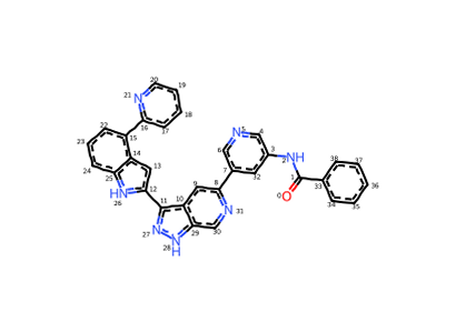 O=C(Nc1cncc(-c2cc3c(-c4cc5c(-c6ccccn6)cccc5[nH]4)n[nH]c3cn2)c1)c1ccccc1